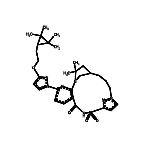 CC1(C)CC2CCCn3ccc(n3)S(=O)(=O)NC(=O)c3ccc(-n4ccc(OCCC5C(C)(C)C5(C)C)n4)nc3N1C2